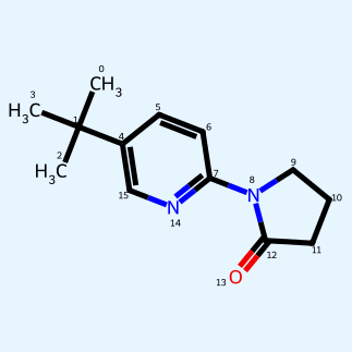 CC(C)(C)c1ccc(N2CCCC2=O)nc1